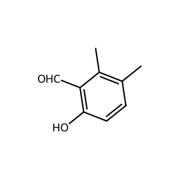 Cc1ccc(O)c(C=O)c1C